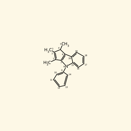 CC1=C(C)C(C)c2c1n(-c1ccccc1)c1ccccc21